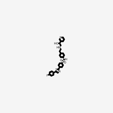 O=S(=O)(Nc1ccc(CCNCC(O)c2cccnc2)cc1)c1ccc(-c2ncc(-c3ccc(F)cc3)s2)cc1